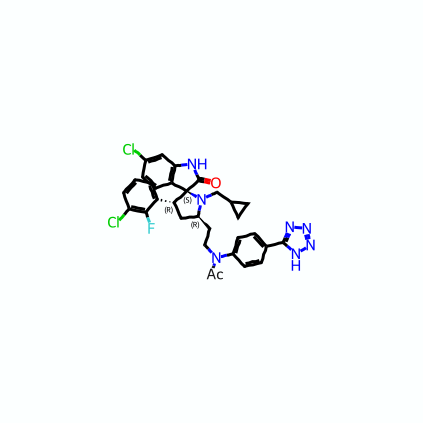 CC(=O)N(CC[C@H]1C[C@H](c2cccc(Cl)c2F)[C@]2(C(=O)Nc3cc(Cl)ccc32)N1CC1CC1)c1ccc(-c2nnn[nH]2)cc1